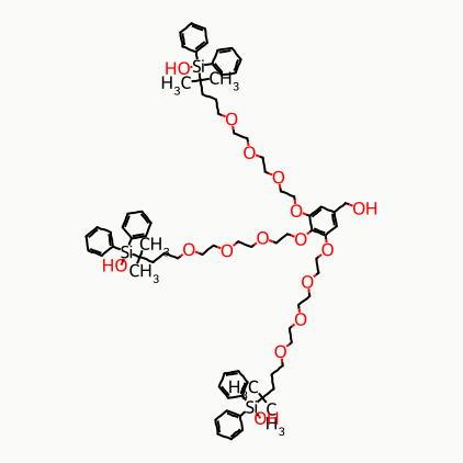 CC(C)(CCCOCCOCCOCCOc1cc(CO)cc(OCCOCCOCCOCCCC(C)(C)[Si](O)(c2ccccc2)c2ccccc2)c1OCCOCCOCCOCCCC(C)(C)[Si](O)(c1ccccc1)c1ccccc1)[Si](O)(c1ccccc1)c1ccccc1